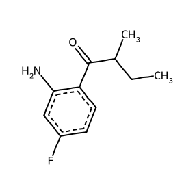 CCC(C)C(=O)c1ccc(F)cc1N